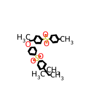 CCC(C)(C)c1ccc(S(=O)(=O)c2ccc(OC(C)c3ccc(S(=O)(=O)c4ccc(C)cc4)cc3)cc2)cc1